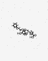 O=C(O)c1csc([C@H]2CC[C@@H]3[C@@H](/C=C/COc4ccccc4)[C@H](O)C[C@@H]3O2)n1